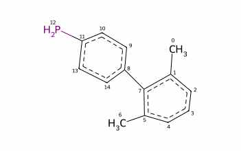 Cc1cccc(C)c1-c1ccc(P)cc1